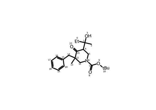 CCC(C)(O)C1CN(C(=O)OC(C)(C)C)CC(C)(Cc2ccccc2)C1=O